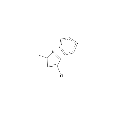 CC1C=C(Cl)C=N1.c1ccccc1